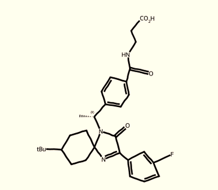 C[C@H](c1ccc(C(=O)NCCC(=O)O)cc1)N1C(=O)C(c2cccc(F)c2)=NC12CCC(C(C)(C)C)CC2